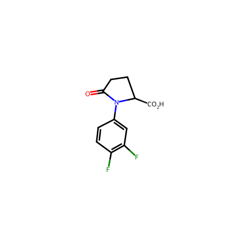 O=C(O)C1CCC(=O)N1c1ccc(F)c(F)c1